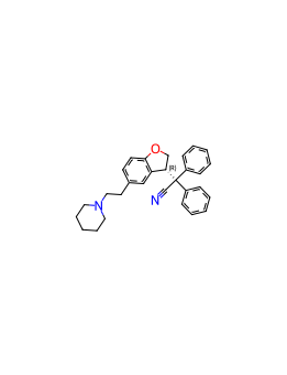 N#CC(c1ccccc1)(c1ccccc1)[C@H]1COc2ccc(CCN3CCCCC3)cc21